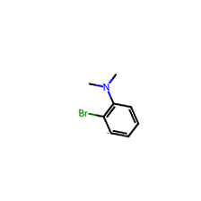 CN(C)c1ccc[c]c1Br